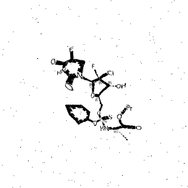 CC(C)OC(=O)[C@H](C)N[P@](=S)(OC[C@H]1O[C@@H](n2cc(F)c(=O)[nH]c2=O)[C@](F)(Cl)[C@@H]1O)Oc1ccccc1